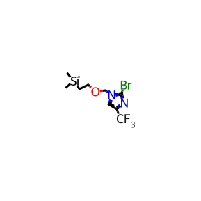 C[Si](C)(C)CCOCn1cc(C(F)(F)F)nc1Br